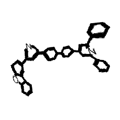 c1ccc(-c2cc(-c3ccc(-c4ccc(-c5cncc(-c6ccc7oc8ccccc8c7c6)c5)cc4)cc3)cc(-c3ccccc3)n2)cc1